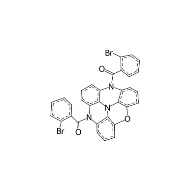 O=C(c1ccccc1Br)N1c2cccc3c2N2c4c(cccc4N(C(=O)c4ccccc4Br)c4cccc1c42)O3